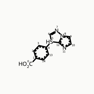 O=C(O)c1ccc([SH]2C=Nn3ccnc32)cc1